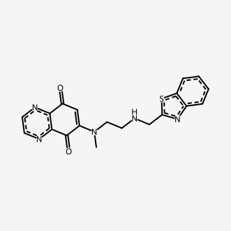 CN(CCNCc1nc2ccccc2s1)C1=CC(=O)c2nccnc2C1=O